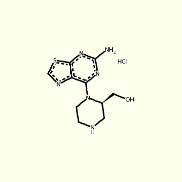 Cl.Nc1nc(N2CCNC[C@@H]2CO)c2ncsc2n1